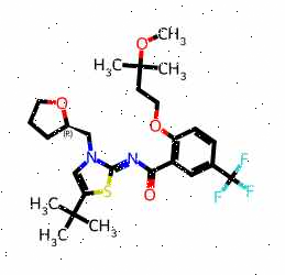 COC(C)(C)CCOc1ccc(C(F)(F)F)cc1C(=O)N=c1sc(C(C)(C)C)cn1C[C@H]1CCCO1